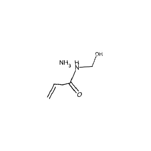 C=CC(=O)NCO.N